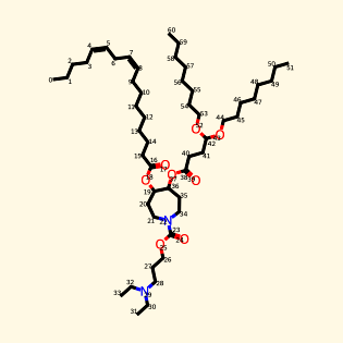 CCCC/C=C\C/C=C\CCCCCCCC(=O)OC1CCN(C(=O)OCCCN(CC)CC)CCC1OC(=O)CCC(OCCCCCCCC)OCCCCCCCC